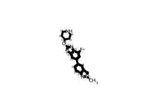 Cn1cc2cc(-c3cc(F)c4nc(OC5CCNCC5)sc4c3)ccc2n1